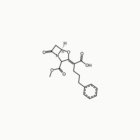 COC(=O)C1C(=C(CCCc2ccccc2)C(=O)O)O[C@@H]2CC(=O)N12